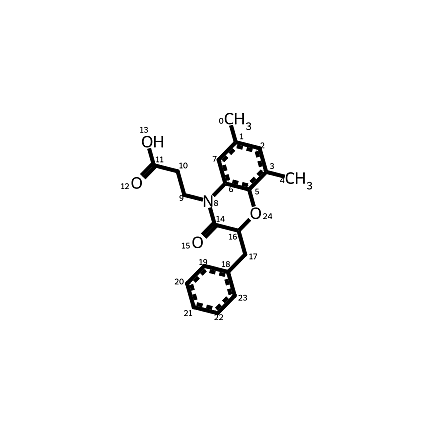 Cc1cc(C)c2c(c1)N(CCC(=O)O)C(=O)C(Cc1ccccc1)O2